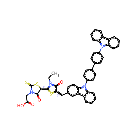 CCn1c(=O)/c(=C\c2ccc3c(c2)c2ccccc2n3-c2ccc(-c3ccc(-n4c5ccccc5c5ccccc54)cc3)cc2)s/c1=C1/SC(=S)N(CC(=O)O)C1=O